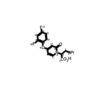 CC(C)CC(C(=O)O)n1ccc(Oc2ccc(F)cc2F)cc1=O